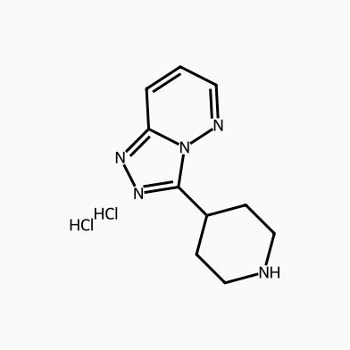 Cl.Cl.c1cnn2c(C3CCNCC3)nnc2c1